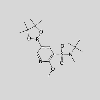 COc1ncc(B2OC(C)(C)C(C)(C)O2)cc1S(=O)(=O)N(C)C(C)(C)C